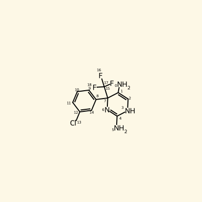 NC1=CNC(N)=NC1(c1cccc(Cl)c1)C(F)(F)F